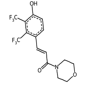 O=C(/C=C/c1ccc(O)c(C(F)(F)F)c1C(F)(F)F)N1CCOCC1